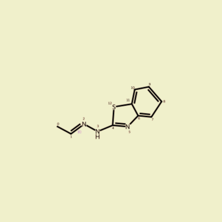 C/C=N/Nc1nc2ccccc2s1